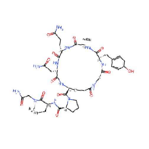 CC[C@H](C)[C@@H]1NC(=O)[C@H](Cc2ccc(O)cc2)NC(=O)CNC(=O)CC[C@@H](C(=O)N2CCC[C@H]2C(=O)N[C@@H](CC(C)C)C(=O)N(C)CC(N)=O)NC(=O)[C@H](CC(N)=O)NC(=O)[C@H](CCC(N)=O)NC1=O